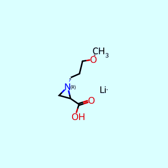 COCCC[N@@]1CC1C(=O)O.[Li]